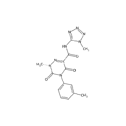 Cc1cccc(-n2c(=O)c(C(=O)Nc3nnnn3C)nn(C)c2=O)c1